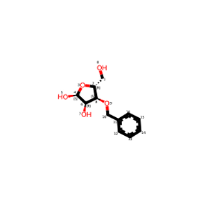 OC[C@H]1O[C@H](O)[C@H](O)[C@@H]1OCc1ccccc1